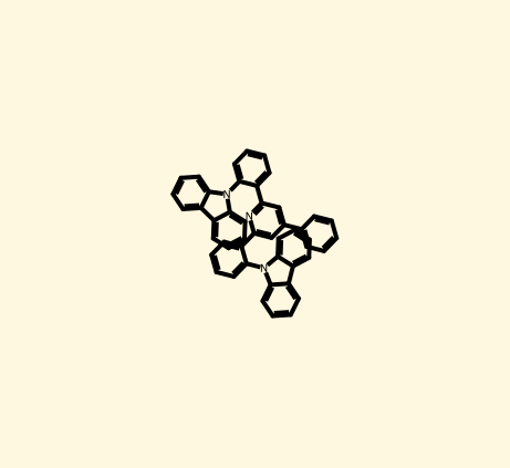 c1ccc(-c2cc(-c3ccccc3-n3c4ccccc4c4ccccc43)nc(-c3ccccc3-n3c4ccccc4c4ccccc43)c2)cc1